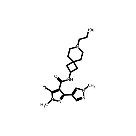 Cn1cc(-c2nn(C)c(Cl)c2C(=O)NC2CC3(CCN(CCC(C)(C)C)CC3)C2)cn1